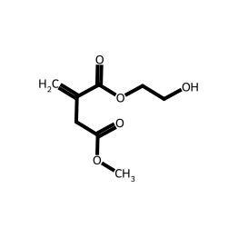 C=C(CC(=O)OC)C(=O)OCCO